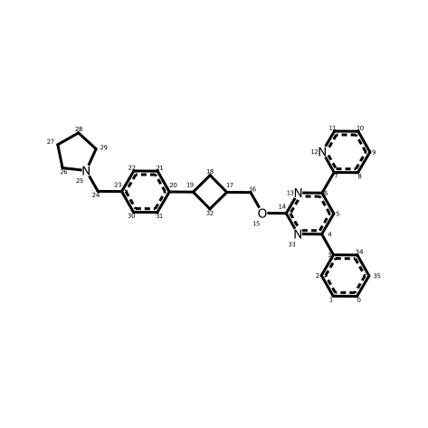 c1ccc(-c2cc(-c3ccccn3)nc(OCC3CC(c4ccc(CN5CCCC5)cc4)C3)n2)cc1